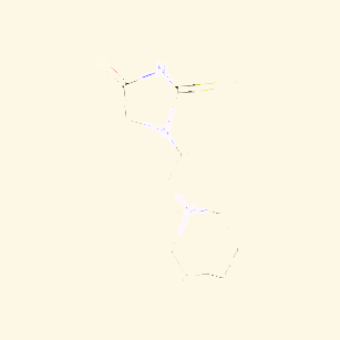 O=C1CN(CCN2CCCCC2)C(=S)[N]1